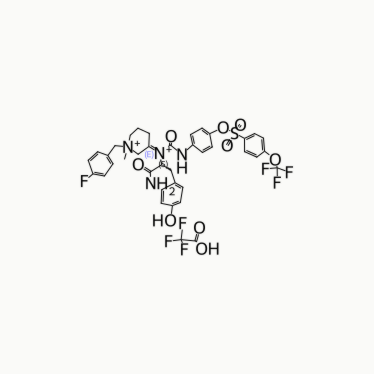 C[N+]1(Cc2ccc(F)cc2)CCC/C(=[N+](\C(=O)Nc2ccc(OS(=O)(=O)c3ccc(OC(F)(F)F)cc3)cc2)[C@@H](Cc2ccc(O)cc2)C(N)=O)C1.O=C(O)C(F)(F)F